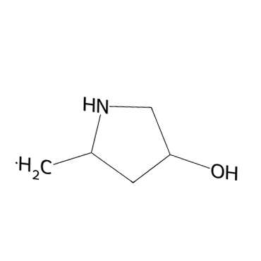 [CH2]C1CC(O)CN1